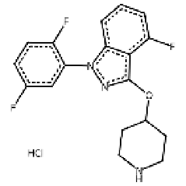 Cl.Fc1ccc(F)c(-n2nc(OC3CCNCC3)c3c(F)cccc32)c1